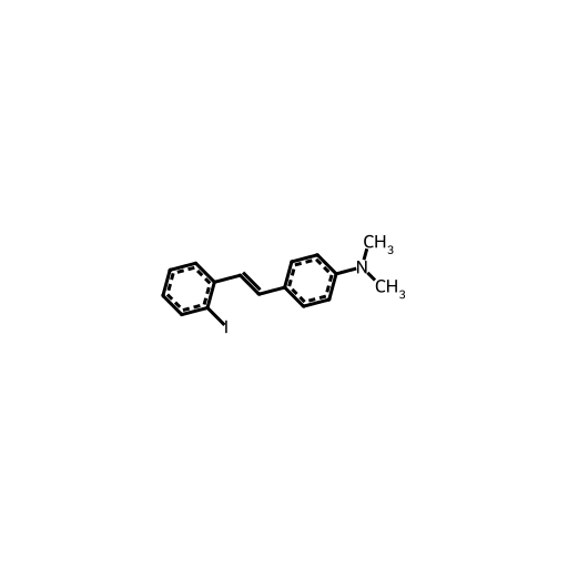 CN(C)c1ccc(C=Cc2ccccc2I)cc1